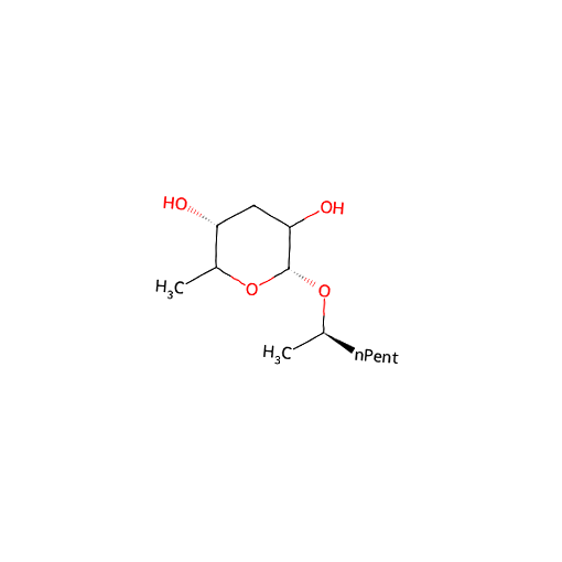 CCCCC[C@@H](C)O[C@@H]1OC(C)[C@H](O)CC1O